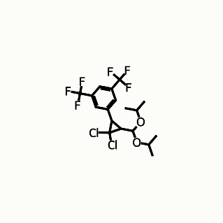 CC(C)OC(OC(C)C)C1C(c2cc(C(F)(F)F)cc(C(F)(F)F)c2)C1(Cl)Cl